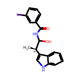 C[C@H](c1c[nH]c2ccccc12)C(O)NC(=O)c1cccc(I)c1